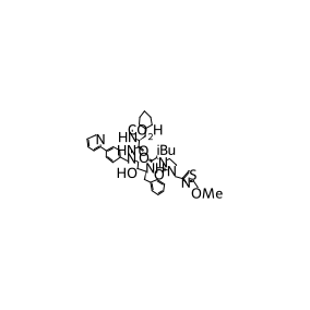 CC[C@H](C)[C@@H](C(=O)N[C@@H](Cc1ccccc1)[C@@H](O)CN(Cc1ccc(-c2ccccn2)cc1)NC(=O)[C@H](CC1CCCCC1)NC(=O)O)N1CCN(Cc2csc(COC)n2)C1=O